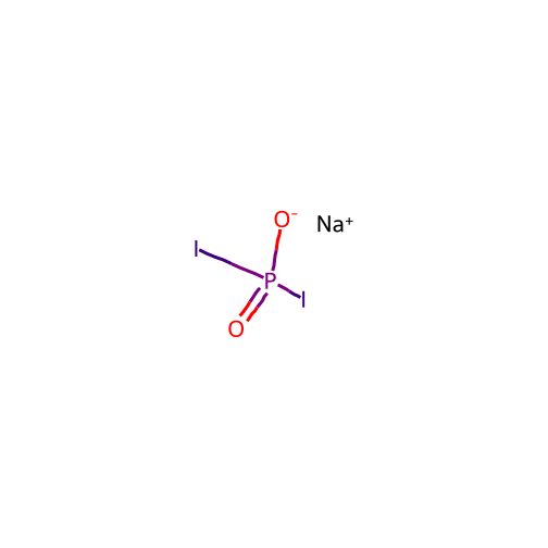 O=P([O-])(I)I.[Na+]